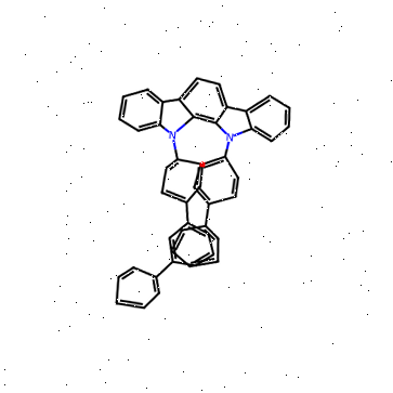 c1ccc(-c2ccc(-n3c4ccccc4c4ccc5c6ccccc6n(-c6ccc(-c7cccc(-c8ccccc8)c7)cc6)c5c43)cc2)cc1